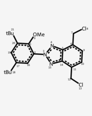 COc1c(-n2nc3c(CCl)ccc(CCl)c3n2)cc(C(C)(C)C)cc1C(C)(C)C